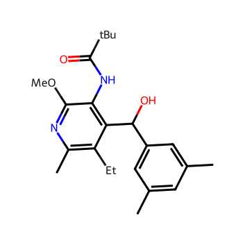 CCc1c(C)nc(OC)c(NC(=O)C(C)(C)C)c1C(O)c1cc(C)cc(C)c1